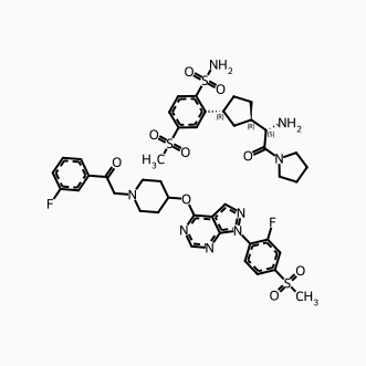 CS(=O)(=O)c1ccc(-n2ncc3c(OC4CCN(CC(=O)c5cccc(F)c5)CC4)ncnc32)c(F)c1.CS(=O)(=O)c1ccc(S(N)(=O)=O)c([C@@H]2CC[C@@H]([C@H](N)C(=O)N3CCCC3)C2)c1